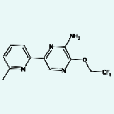 Cc1cccc(-c2[c]nc(OCC(F)(F)F)c(N)n2)n1